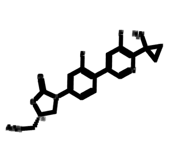 CC(=O)NC[C@H]1CN(c2ccc(-c3cnc(C4(N)CC4)c(F)c3)c(F)c2)C(=O)O1